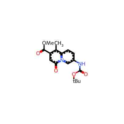 COC(=O)c1cc(=O)n2cc(NC(=O)OC(C)(C)C)ccc2c1C